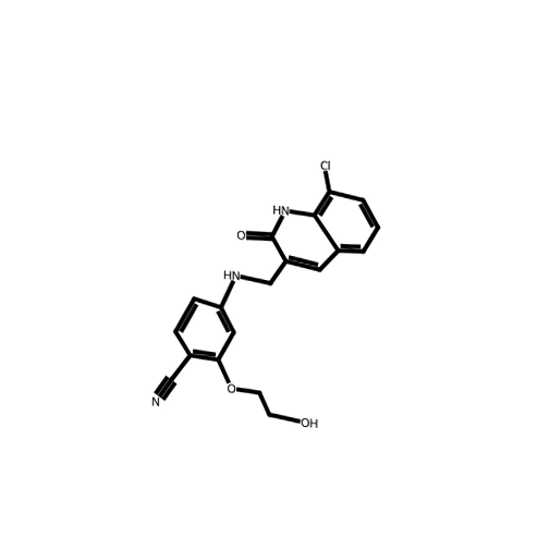 N#Cc1ccc(NCc2cc3cccc(Cl)c3[nH]c2=O)cc1OCCO